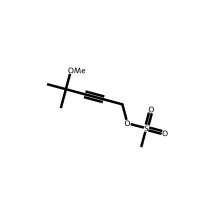 COC(C)(C)C#CCOS(C)(=O)=O